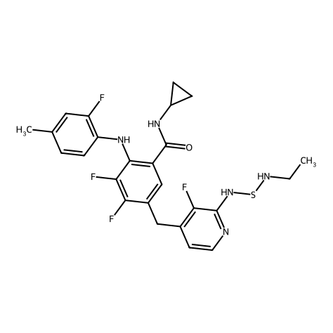 CCNSNc1nccc(Cc2cc(C(=O)NC3CC3)c(Nc3ccc(C)cc3F)c(F)c2F)c1F